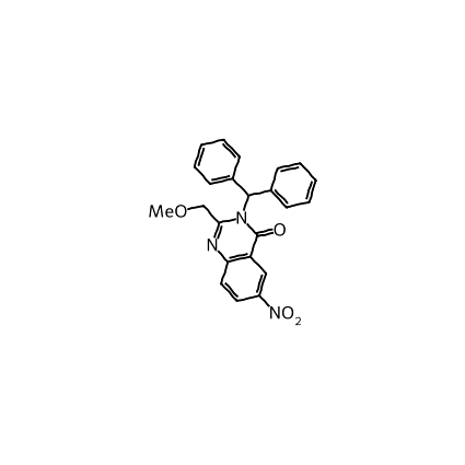 COCc1nc2ccc([N+](=O)[O-])cc2c(=O)n1C(c1ccccc1)c1ccccc1